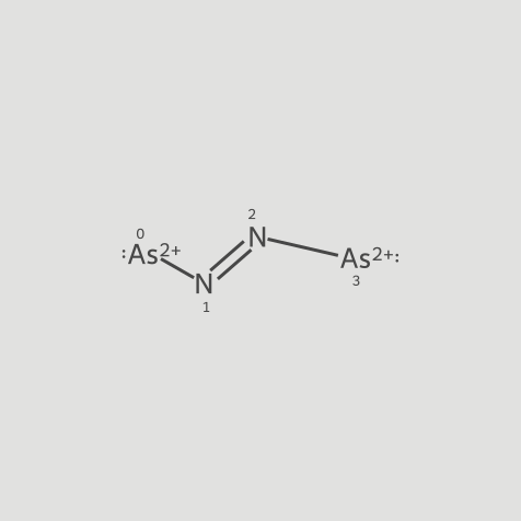 [As+2]N=N[As+2]